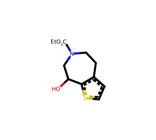 CCOC(=O)N1CCc2ccsc2C(O)C1